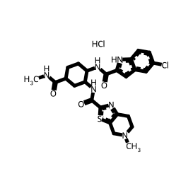 CNC(=O)C1CCC(NC(=O)c2cc3cc(Cl)ccc3[nH]2)C(NC(=O)c2nc3c(s2)CN(C)CC3)C1.Cl